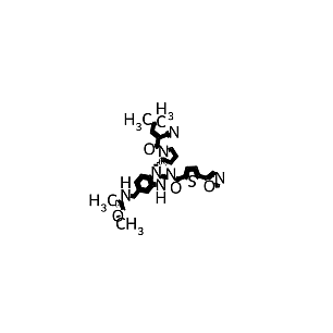 COC[C@H](C)NCc1ccc2c(c1)[nH]c(=NC(=O)c1ccc(-c3cnco3)s1)n2C[C@H]1CCCN1C(=O)C(C#N)=CC(C)C